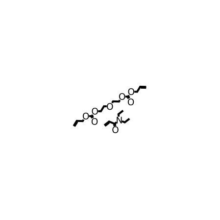 C=CC(=O)N(CC)CC.C=CCOC(=O)OCCOCCOC(=O)OCC=C